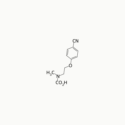 CN(CCOc1ccc(C#N)cc1)C(=O)O